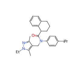 CCn1nc(C)c(CN(C(=O)C2CCCc3ccccc32)c2ccc(C(C)C)cc2)c1C